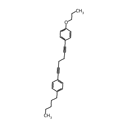 CCCCCc1ccc(C#CCCC#Cc2ccc(OCCC)cc2)cc1